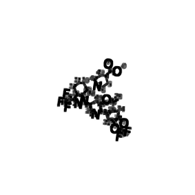 COC(=O)C1CCN(C[C@H]2CCCc3c(C(F)(F)F)nn(-c4cncc(O[C@@H](C)c5ccc6c(c5)OC(F)(F)O6)c4)c32)CC1